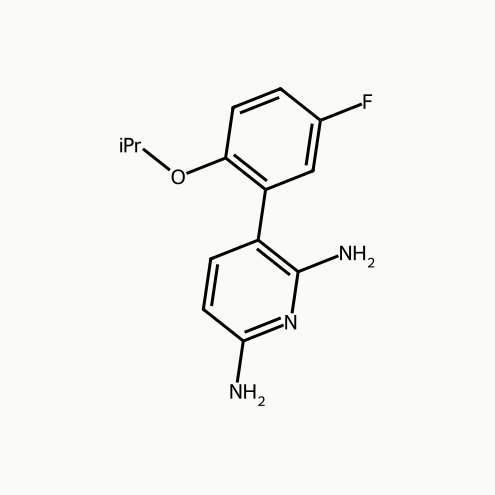 CC(C)Oc1ccc(F)cc1-c1ccc(N)nc1N